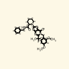 COc1ccc(Cn2c(C(C)(C)F)nc3sc(N4CCCCC4C(=O)NCc4ccccc4)nc3c2=O)c(OC)c1